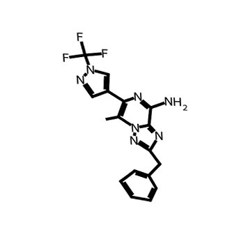 Cc1c(-c2cnn(C(F)(F)F)c2)nc(N)c2nc(Cc3ccccc3)nn12